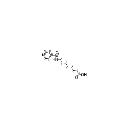 O=C(O)CCCCCCCNC(=O)c1ccncc1